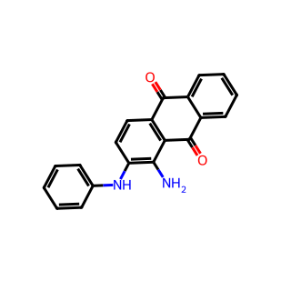 Nc1c(Nc2ccccc2)ccc2c1C(=O)c1ccccc1C2=O